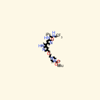 CC(C)[C@@H](Nc1cncc(-c2c[nH]c3ncc(COCCN4CCN(C(=O)OC(C)(C)C)CC4)cc23)c1)C(=O)NCC(F)(F)F